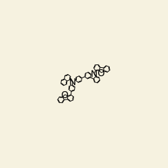 c1ccc2c(N(c3ccc(-c4ccc5c(c4)c4ccccc4n5-c4cccc5c4oc4ccccc45)cc3)c3ccc(-c4cccc5c4oc4ccccc45)cc3)cccc2c1